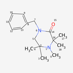 CN1C(C)(C)CN(Cc2ccccc2)C(=O)C1(C)C